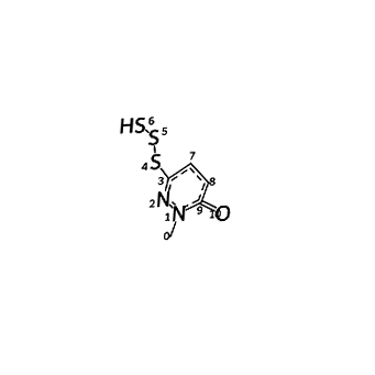 Cn1nc(SSS)ccc1=O